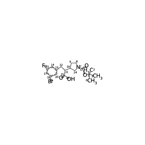 CC(C)(C)OC(=O)N1CCC(C(Cc2cc(F)cc(Br)c2)C(=O)O)C1